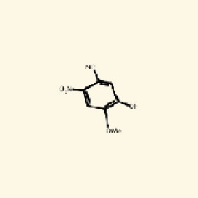 COc1cc([N+](=O)[O-])c(C#N)cc1O